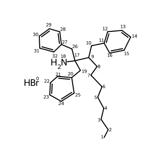 Br.CCCCCCCCC(Cc1ccccc1)C(N)(Cc1ccccc1)Cc1ccccc1